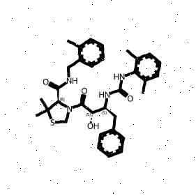 Cc1ccccc1CNC(=O)[C@H]1N(C(=O)[C@@H](O)[C@H](Cc2ccccc2)NC(=O)Nc2c(C)cccc2C)CSC1(C)C